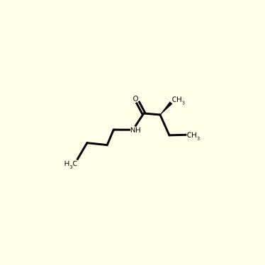 CCCCNC(=O)[C@@H](C)CC